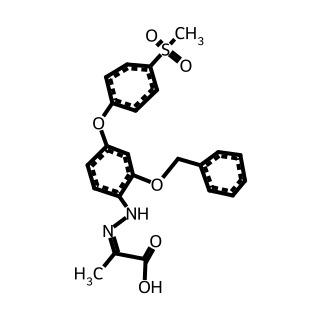 CC(=NNc1ccc(Oc2ccc(S(C)(=O)=O)cc2)cc1OCc1ccccc1)C(=O)O